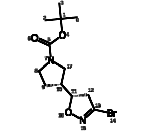 CC(C)(C)OC(=O)N1CC[C@@H]([C@@H]2CC(Br)=NO2)C1